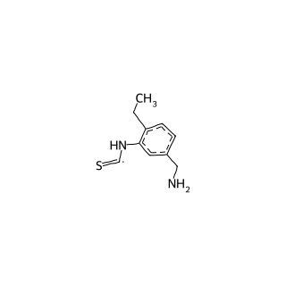 CCc1ccc(CN)cc1N[C]=S